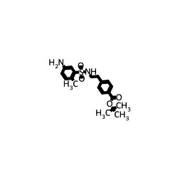 Cc1ccc(N)cc1S(=O)(=O)NCCc1ccc(C(=O)OC(C)(C)C)cc1